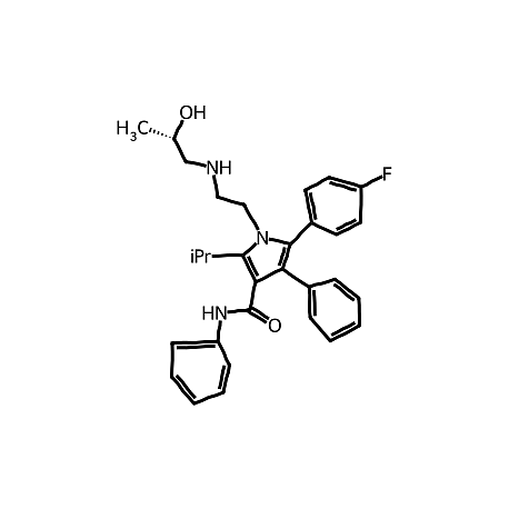 CC(C)c1c(C(=O)Nc2ccccc2)c(-c2ccccc2)c(-c2ccc(F)cc2)n1CCNC[C@H](C)O